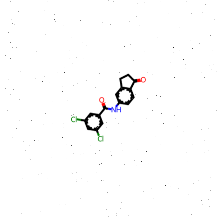 O=C(Nc1ccc2c(c1)CCC2=O)c1cc(Cl)cc(Cl)c1